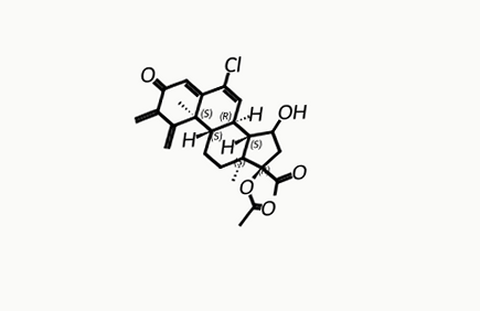 C=C1C(=C)[C@@]2(C)C(=CC1=O)C(Cl)=C[C@@H]1[C@@H]2CC[C@@]2(C)[C@H]1C(O)C[C@]2(OC(C)=O)C(C)=O